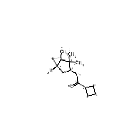 CC1(C)[C@@H](OC(=O)C2CCC2)C[C@@H]2CC21C